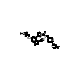 CC(C)(O)COc1cc(C2=CCN(C(=O)NCc3ccc(-n4cc(F)cn4)nc3)C2)c2c(C#N)cnn2c1